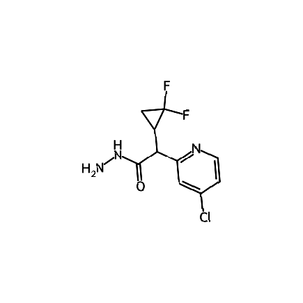 NNC(=O)C(c1cc(Cl)ccn1)C1CC1(F)F